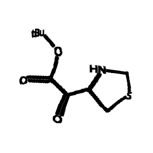 CC(C)(C)OC(=O)C(=O)C1CSCN1